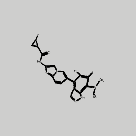 CCc1c(F)c(N(C)CC)c2[nH]ncc2c1-c1ccc2nc(NC(=O)C3CC3F)cn2c1